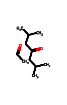 CC(C)CC(=O)CC(C)C.CC=O